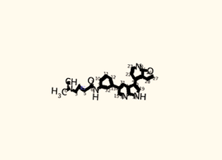 CN(C)C/C=C/C(=O)Nc1cccc(-c2cnc3[nH]cc(-c4ccnc5occc45)c3c2)c1